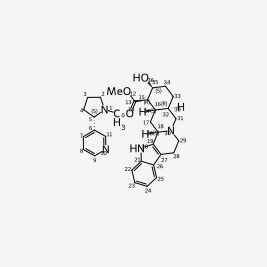 CN1CCC[C@H]1c1cccnc1.COC(=O)[C@@H]1[C@H]2C[C@H]3c4[nH]c5ccccc5c4CCN3C[C@@H]2CC[C@@H]1O